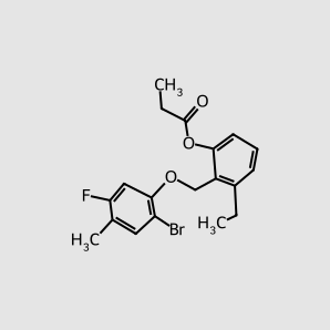 CCC(=O)Oc1cccc(CC)c1COc1cc(F)c(C)cc1Br